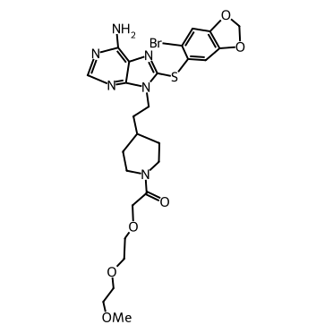 COCCOCCOCC(=O)N1CCC(CCn2c(Sc3cc4c(cc3Br)OCO4)nc3c(N)ncnc32)CC1